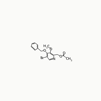 COc1c(COC(C)=O)ncc(Br)c1OCc1ccccc1